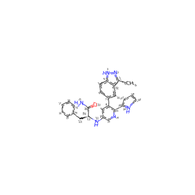 Cc1n[nH]c2ccc(-c3cc(N[C@@H](Cc4ccccc4)C(N)=O)cnc3-c3ccc[nH]3)cc12